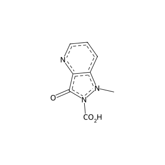 Cn1c2cccnc2c(=O)n1C(=O)O